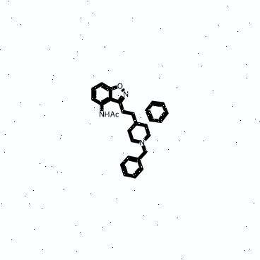 CC(=O)Nc1cccc2onc(CCC3CCN(Cc4ccccc4)CC3)c12.c1ccccc1